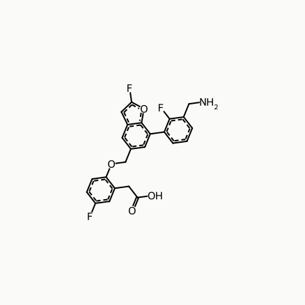 NCc1cccc(-c2cc(COc3ccc(F)cc3CC(=O)O)cc3cc(F)oc23)c1F